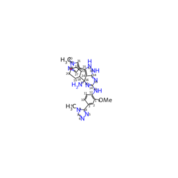 COc1cc(-c2nncn2C)ccc1NC1=NC(N)(C2CCCCC2)C2=C(c3cnn(C)c3)NNC2=N1